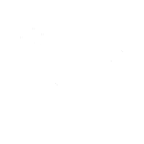 COc1ccc(C2CCc3cc(OC(=O)C(C)(C)C)ccc3C2)c(NCCCc2ccc(OCC34CCN(CC3)CC4)cc2)c1